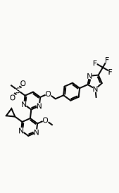 COc1ncnc(C2CC2)c1-c1nc(OCc2ccc(-c3nc(C(F)(F)F)cn3C)cc2)cc(S(C)(=O)=O)n1